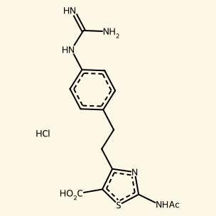 CC(=O)Nc1nc(CCc2ccc(NC(=N)N)cc2)c(C(=O)O)s1.Cl